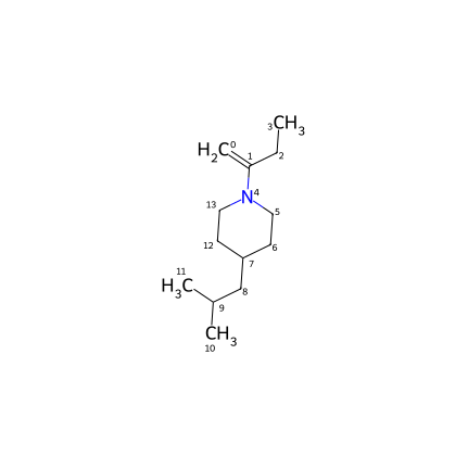 C=C(CC)N1CCC(CC(C)C)CC1